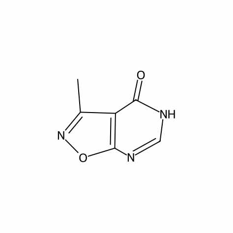 Cc1noc2nc[nH]c(=O)c12